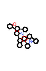 c1ccc(N(c2ccc(-c3ccccc3-n3c4ccccc4c4ccccc43)cc2)c2ccccc2-c2cc3ccccc3c3ccccc23)c(-c2ccc3c(c2)oc2ccccc23)c1